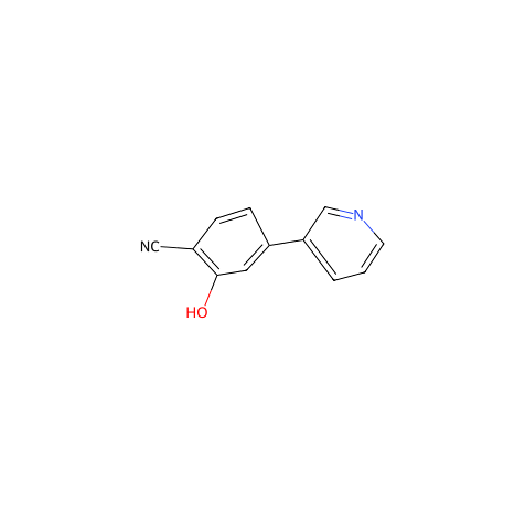 N#Cc1ccc(-c2cccnc2)cc1O